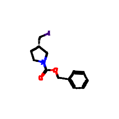 O=C(OCc1ccccc1)N1CC[C@H](CI)C1